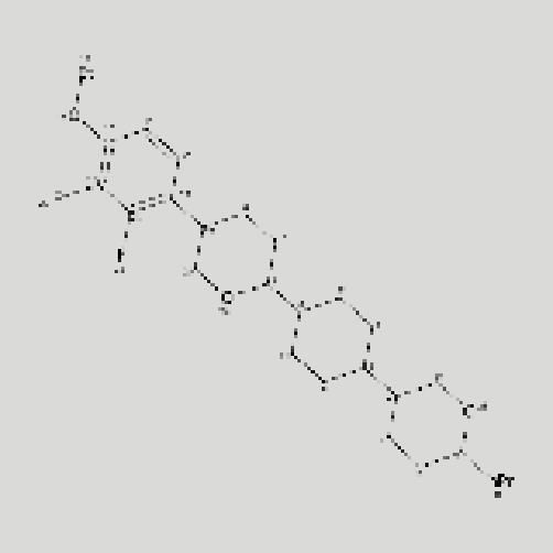 CCCC1CCC(C2CCC(C3CCC(c4ccc(OCC)c(F)c4F)CO3)CC2)CO1